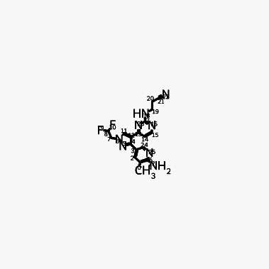 Cc1cc(-c2nn(CC(F)F)cc2-c2ccnc(NCCC#N)n2)cnc1N